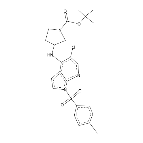 Cc1ccc(S(=O)(=O)n2ccc3c(NC4CCN(C(=O)OC(C)(C)C)C4)c(Cl)cnc32)cc1